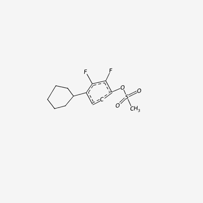 CS(=O)(=O)Oc1ccc(C2CCCCC2)c(F)c1F